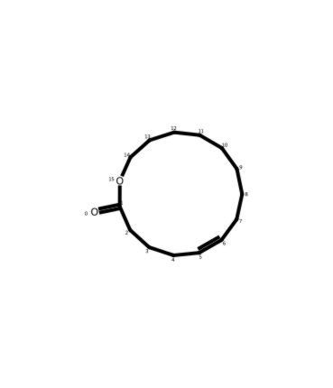 O=C1CCCC=CCCCCCCCCO1